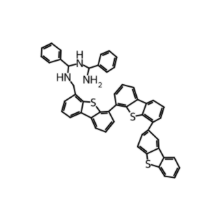 NC(NC(NCc1cccc2c1sc1c(-c3cccc4c3sc3c(-c5ccc6sc7ccccc7c6c5)cccc34)cccc12)c1ccccc1)c1ccccc1